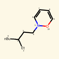 CCCCC(CC)CCN1C=CC=CO1